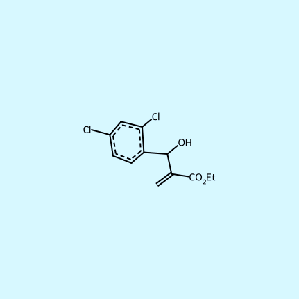 C=C(C(=O)OCC)C(O)c1ccc(Cl)cc1Cl